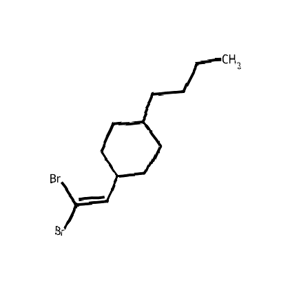 CCCCC1CCC(C=C(Br)Br)CC1